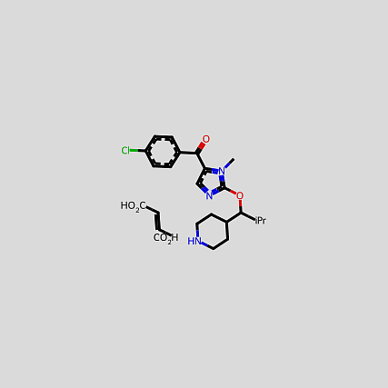 CC(C)C(Oc1ncc(C(=O)c2ccc(Cl)cc2)n1C)C1CCNCC1.O=C(O)C=CC(=O)O